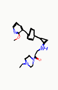 COc1ncccc1-c1ccc(C2CC2NCC(=O)N2CCN(C)CC2)cc1